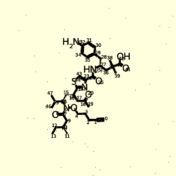 C#CCCCON(C(=O)C[C@@H](C)CC)[C@H](C[C@@H](CC(C)=O)c1nc(C(=O)N[C@@H](Cc2ccc(N)cc2)CC(C)(C)C(=O)O)cs1)C(C)C